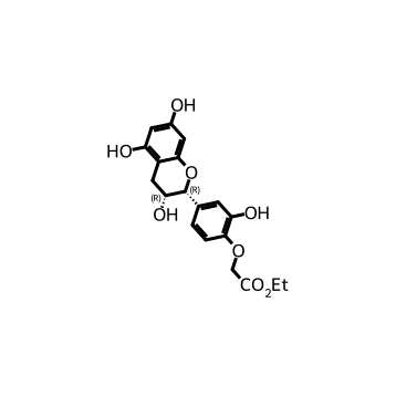 CCOC(=O)COc1ccc([C@H]2Oc3cc(O)cc(O)c3C[C@H]2O)cc1O